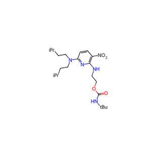 CC(C)CCN(CCC(C)C)c1ccc([N+](=O)[O-])c(NCCOC(=O)NC(C)(C)C)n1